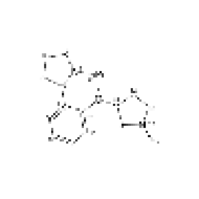 CC(C)N1CCCC1c1ccccc1OC1CCN(C)C1